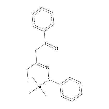 CCC(CC(=O)c1ccccc1)=NN(c1ccccc1)[Si](C)(C)C